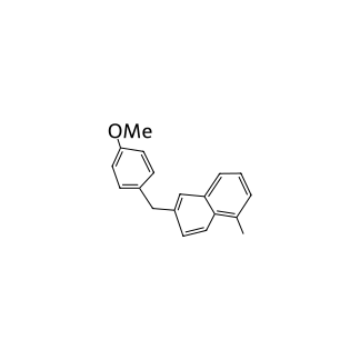 COc1ccc(Cc2ccc3c(C)cccc3c2)cc1